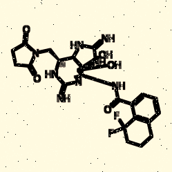 N=C1NC2[C@H](CN3C(=O)CCC3=O)NC(=N)N3CC(NC(=O)c4cccc5c4C(F)(F)CCC5)C(O)(O)C23N1